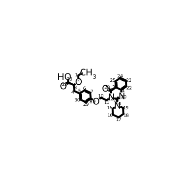 CCOC(Cc1ccc(OCCn2c(N3CCCCC3)nc3ccccc3c2=O)cc1)C(=O)O